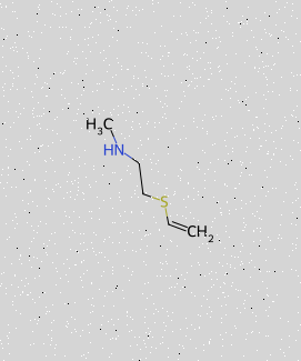 C=CSCCNC